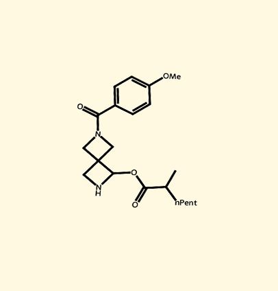 CCCCCC(C)C(=O)OC1NCC12CN(C(=O)c1ccc(OC)cc1)C2